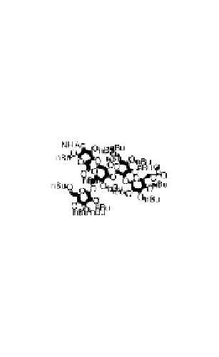 CCCCOCC1O[C@@H](OCCCC)C(NC(C)=O)[C@@H](OCCCC)[C@@H]1O[C@@H]1OC(CO[C@H]2OC(COCCCC)[C@@H](OCCCC)[C@H](OCCCC)C2OCCCC)[C@@H](OCCCC)[C@H](O[C@H]2O[C@@H](COCCCC)[C@@H](OCCCC)C(OCCCC)C2O[C@H]2O[C@@H](COP(=O)=O)[C@@H](OCCCC)C(OCCCC)C2OCCCC)C1OCCCC